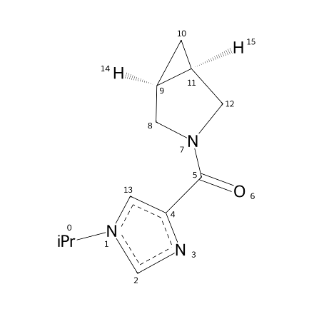 CC(C)n1cnc(C(=O)N2C[C@H]3C[C@H]3C2)c1